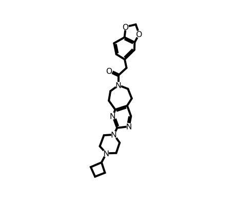 O=C(Cc1ccc2c(c1)OCO2)N1CCc2cnc(N3CCN(C4CCC4)CC3)nc2CC1